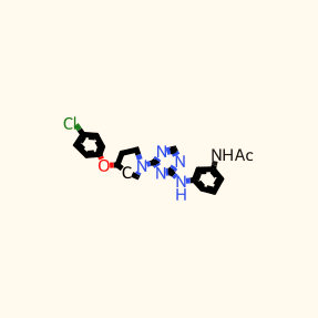 CC(=O)Nc1cccc(Nc2ncnc(N3CCC(Oc4ccc(Cl)cc4)CC3)n2)c1